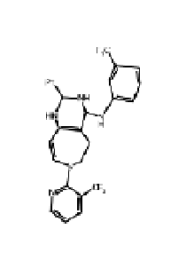 CC(C)C1NC2=C(CCN(c3ncccc3C(F)(F)F)C=C2)C(Nc2cccc(C(F)(F)F)c2)N1